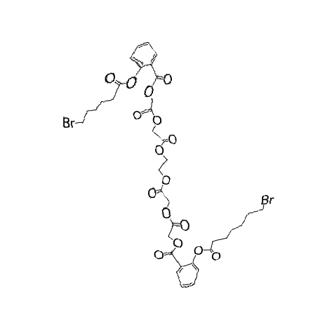 O=C(COC(=O)COC(=O)c1ccccc1OC(=O)CCCCCBr)OCCOC(=O)COC(=O)COC(=O)c1ccccc1OC(=O)CCCCCCBr